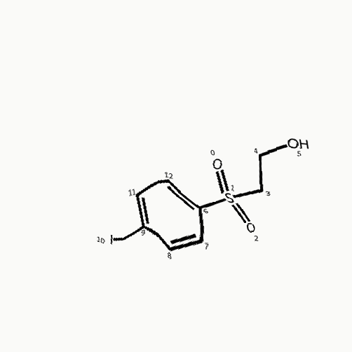 O=S(=O)(CCO)c1ccc(I)cc1